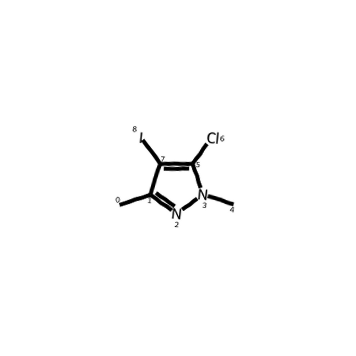 Cc1nn(C)c(Cl)c1I